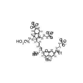 CC[N+](CCCS(=O)(=O)[O-])=c1ccc2c(C(C)(C)C)cc(C=CC=CC=C3N(CCCS(=O)(=O)[O-])c4ccc(S(=O)(=O)[O-])cc4C3(C)CCCC(=O)O)oc-2c1.[Na+].[Na+]